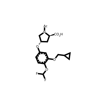 CC(=O)N1C[C@@H](Oc2ccc(OC(F)F)c(OCC3CC3)c2)C[C@@H]1C(=O)O